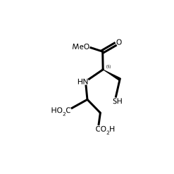 COC(=O)[C@@H](CS)NC(CC(=O)O)C(=O)O